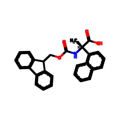 C[C@@](NC(=O)OCC1c2ccccc2-c2ccccc21)(C(=O)O)c1cccc2ccccc12